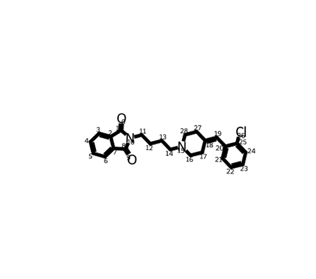 O=C1c2ccccc2C(=O)N1CCCCN1CCC(=Cc2ccccc2Cl)CC1